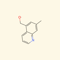 Cc1cc(C[O])c2cccnc2c1